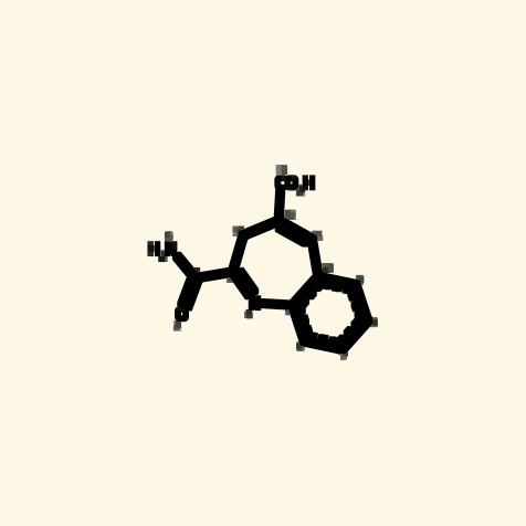 NC(=O)C1=Nc2ccccc2C=C(C(=O)O)C1